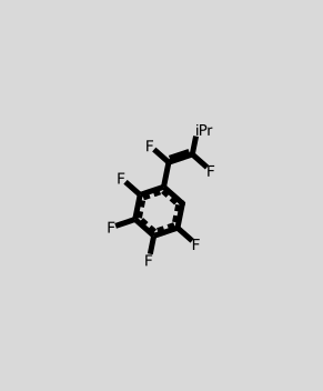 CC(C)C(F)=C(F)c1cc(F)c(F)c(F)c1F